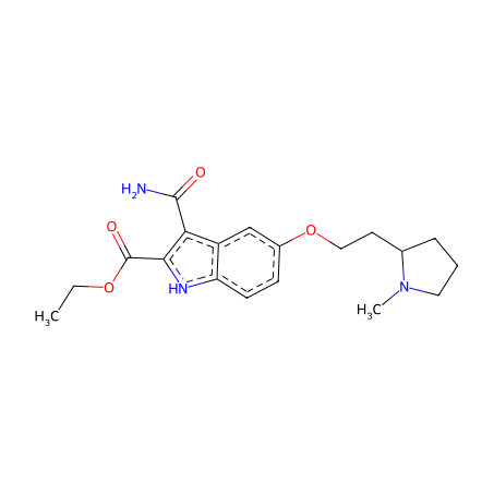 CCOC(=O)c1[nH]c2ccc(OCCC3CCCN3C)cc2c1C(N)=O